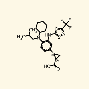 CC(C)CN(c1ccc([C@H]2C[C@H]2C(=O)O)cc1Nc1nc(C(F)(F)F)ns1)C1CCCCC1